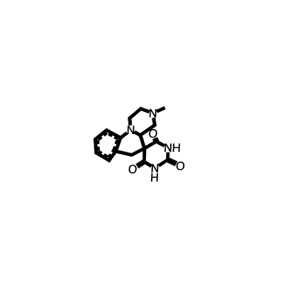 CN1CCN2c3ccccc3CC3(C(=O)NC(=O)NC3=O)C2C1